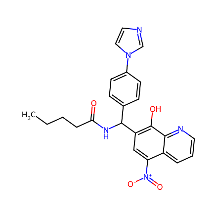 CCCCC(=O)NC(c1ccc(-n2ccnc2)cc1)c1cc([N+](=O)[O-])c2cccnc2c1O